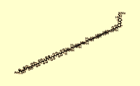 CNCC(=O)NC1CCC(CC2CCC(NC(=O)CC(=O)NCNNCNNCNNCNNCNNCNNCNNCNNCNNCNNCNNCNNCNC(=O)CC(=O)C(=O)CC(=O)C(=O)CC(=O)C(=O)CC(=O)C(=O)CC(=O)C(=O)CC(=O)C(=O)CC(=O)C(=O)CC(=O)C(=O)CC(=O)C(=O)CC(=O)C(=O)CC(=O)C(=O)CC(=O)C(=O)CC(C)=O)CC2)CC1